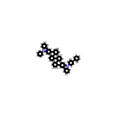 c1ccc(-c2ccc(-n3c4ccccc4c4cc(-c5ccccc5-c5ccccc5-c5ccccc5-c5ccccc5-c5ccc6c(c5)c5ccccc5n6-c5ccccc5)ccc43)cc2)cc1